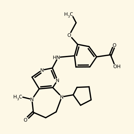 CCOc1cc(C(=O)O)ccc1Nc1ncc2c(n1)N(C1CCCC1)CCC(=O)N2C